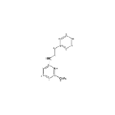 COc1cncc(NCCc2ccccc2)n1